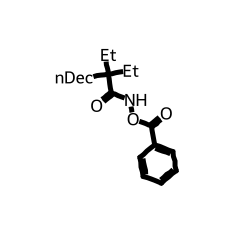 CCCCCCCCCCC(CC)(CC)C(=O)NOC(=O)c1ccccc1